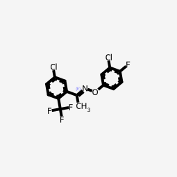 C/C(=N\Oc1ccc(F)c(Cl)c1)c1cc(Cl)ccc1C(F)(F)F